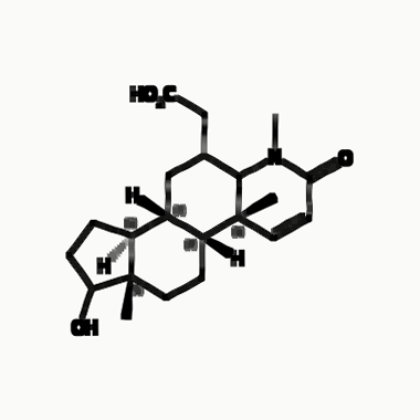 CN1C(=O)C=C[C@@]2(C)C1C(CC(=O)O)C[C@@H]1[C@H]2CC[C@]2(C)C(O)CC[C@@H]12